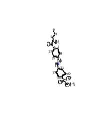 CCCNC(=O)c1ccc(/N=N/c2ccc(S(=O)(=O)O)cc2)cc1